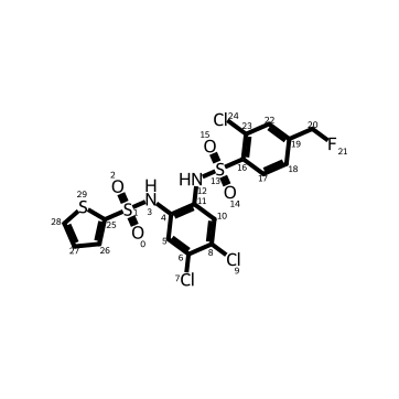 O=S(=O)(Nc1cc(Cl)c(Cl)cc1NS(=O)(=O)c1ccc(CF)cc1Cl)c1cccs1